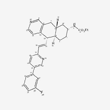 CCOC(=O)N[C@@H]1CC[C@@H]2[C@H](Cc3cnccc3[C@H]2/C=C/c2ccc(-c3cccc(F)c3)cn2)C1